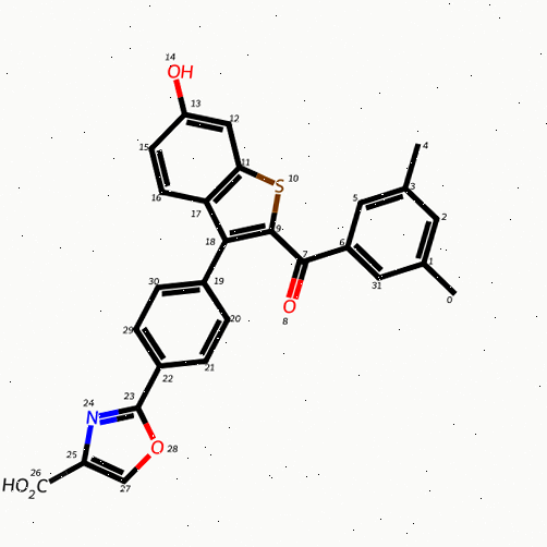 Cc1cc(C)cc(C(=O)c2sc3cc(O)ccc3c2-c2ccc(-c3nc(C(=O)O)co3)cc2)c1